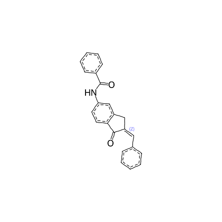 O=C(Nc1ccc2c(c1)C/C(=C/c1ccccc1)C2=O)c1ccccc1